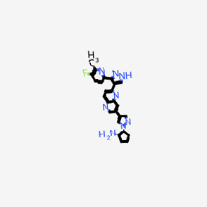 Cc1nc(-c2n[nH]cc2-c2ccc3ncc(-c4cnn([C@@H]5CCC[C@@H]5N)c4)cc3n2)ccc1F